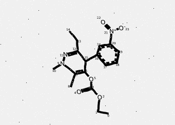 CCOC(=O)OC1=C(C)N(C)N=C(CC)C1c1cccc([N+](=O)[O-])c1